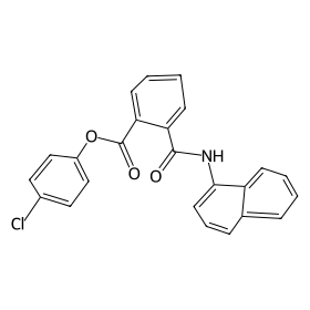 O=C(Nc1cccc2ccccc12)c1ccccc1C(=O)Oc1ccc(Cl)cc1